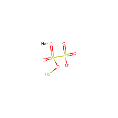 O=S(=O)([O-])S(=O)(=O)OS.[Na+]